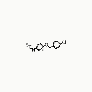 S=C=Nc1ccc(OCc2ccc(Cl)cc2)nc1